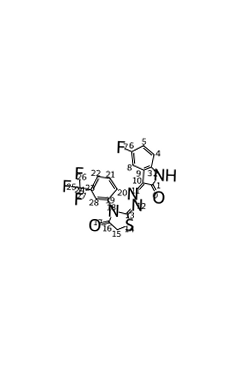 O=C1Nc2ccc(F)cc2C1=NN=C1SCC(=O)N1c1cccc(C(F)(F)F)c1